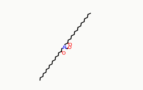 CCCCCCCCCCCCCCC(=O)CN(C=O)CC(=O)CCCCCCCCCCCCCC